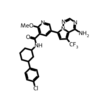 COc1ncc(-c2cc(C(F)(F)F)c3c(N)ncnn23)cc1C(=O)NC1CCCC(c2ccc(Cl)cc2)C1